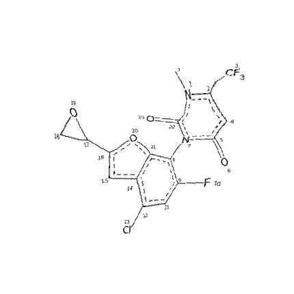 Cn1c(C(F)(F)F)cc(=O)n(-c2c(F)cc(Cl)c3cc(C4CO4)oc23)c1=O